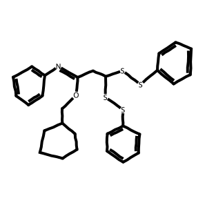 c1ccc(/N=C(/CC(SSc2ccccc2)SSc2ccccc2)OCC2CCCCC2)cc1